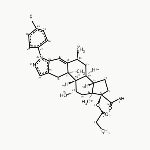 CCC(=O)O[C@]1(C(=O)S)CC[C@H]2[C@@H]3C[C@H](C)C4=Cc5c(cnn5-c5ccc(F)cc5)C[C@]4(C)[C@H]3[C@@H](O)C[C@@]21C